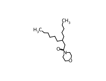 CCCCCCC(CCCCC)CC(=O)N1CCOCC1